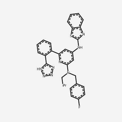 CC(C)CN(Cc1ccc(F)cc1)c1cc(Nc2nc3ccccc3s2)cc(-c2ccccc2-c2nnn[nH]2)n1